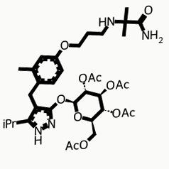 CC(=O)OC[C@H]1O[C@@H](Oc2n[nH]c(C(C)C)c2Cc2ccc(OCCCNC(C)(C)C(N)=O)cc2C)[C@H](OC(C)=O)[C@@H](OC(C)=O)[C@@H]1OC(C)=O